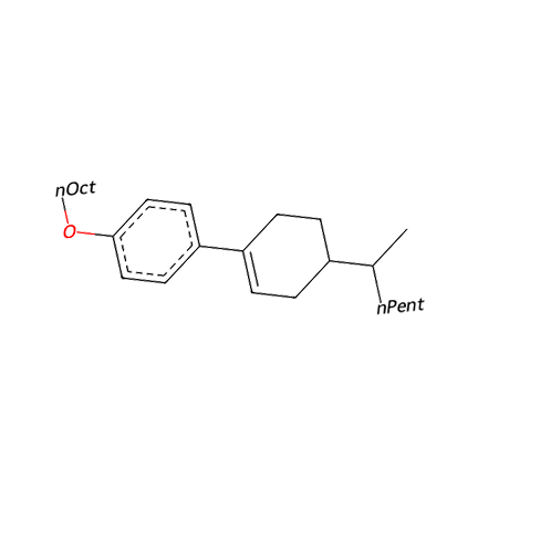 CCCCCCCCOc1ccc(C2=CCC(C(C)CCCCC)CC2)cc1